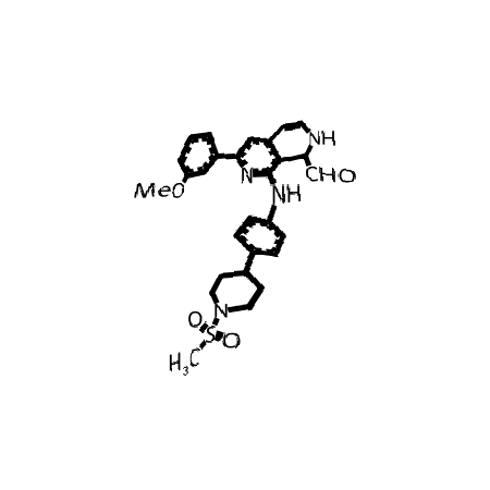 COc1cccc(-c2cc3c(c(Nc4ccc(C5CCN(S(C)(=O)=O)CC5)cc4)n2)C(C=O)NC=C3)c1